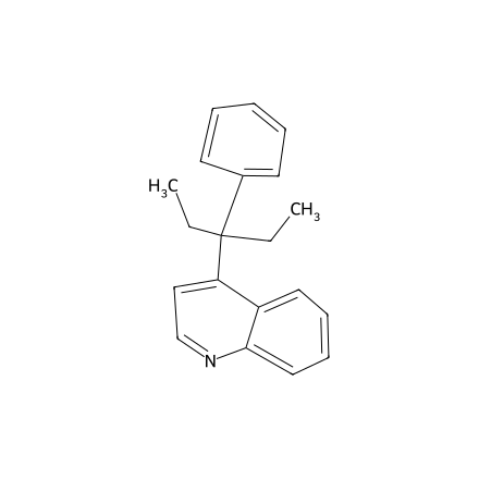 CCC(CC)(c1ccccc1)c1ccnc2ccccc12